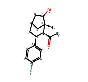 CCC(=O)[C@H]1[C@@H](c2ccc(F)cc2)CC2CC(O)[C@H]1C2